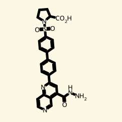 NNC(=O)c1cc(-c2ccc(-c3ccc(S(=O)(=O)N4CCCC4C(=O)O)cc3)cc2)nc2ccncc12